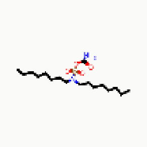 CCCCCCCCN(CCCCCCCC)S(=O)(=O)OC(N)=O